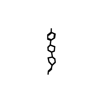 C/C=C/C1CCC(C2CCC(c3ccc(C)cc3)CC2)CC1